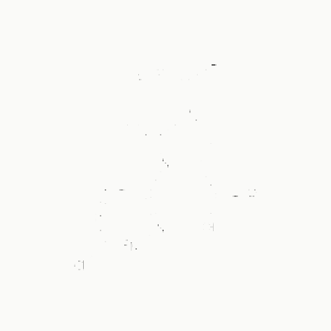 O=C(O)C1Cc2c(F)cccc2N1c1ccc(Cl)nn1